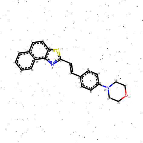 C(=Cc1nc2c(ccc3ccccc32)s1)c1ccc(N2CCOCC2)cc1